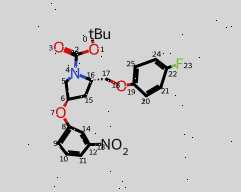 CC(C)(C)OC(=O)N1C[C@H](Oc2cccc([N+](=O)[O-])c2)C[C@H]1COc1ccc(F)cc1